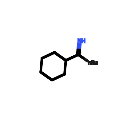 CCCCC(=N)C1CCCCC1